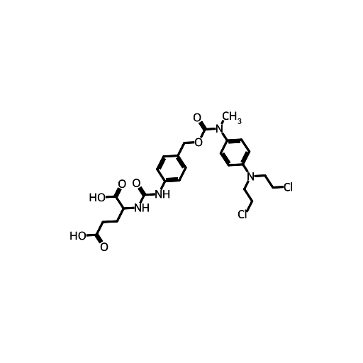 CN(C(=O)OCc1ccc(NC(=O)NC(CCC(=O)O)C(=O)O)cc1)c1ccc(N(CCCl)CCCl)cc1